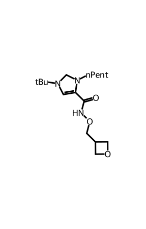 CCCCCN1CN(C(C)(C)C)C=C1C(=O)NOCC1COC1